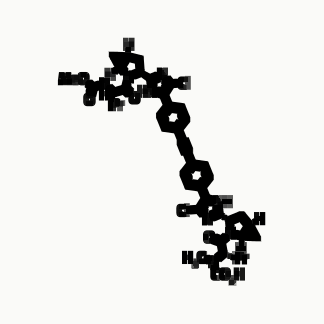 COC(=O)N[C@H](C(=O)N1[C@@H]2C[C@H]2C[C@H]1c1nc(Cl)c(-c2ccc(C#Cc3ccc(-c4[nH]c([C@@H]5C[C@H]6C[C@H]6N5C(=O)[C@H](C(C)C)N(C)C(=O)O)nc4Cl)cc3)cc2)[nH]1)C(C)C